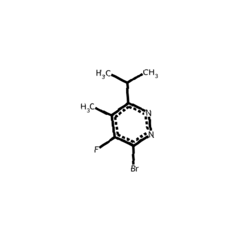 Cc1c(C(C)C)nnc(Br)c1F